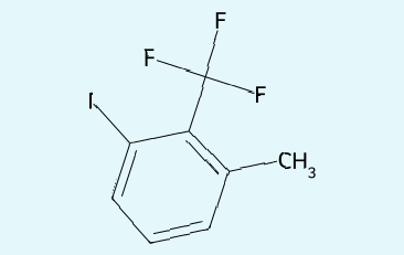 Cc1cccc(I)c1C(F)(F)F